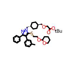 Cc1cccc(-c2c(-c3ccccc3)nn(C[C@H]3CC[C@H](COCC(=O)OC(C)(C)C)CC3)c2SCCOC2CCCCO2)c1